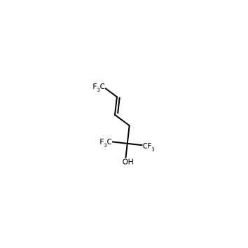 OC(CC=CC(F)(F)F)(C(F)(F)F)C(F)(F)F